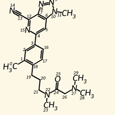 Cc1cc(-c2cc3c(nnn3C)c(C#N)n2)ccc1CCCN(C)C(=O)CN(C)C